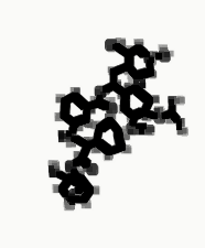 COc1cc(C(Cc2c(Cl)c[n+]([O-])cc2Cl)OC(=O)c2cccc(NC(C(=O)O[C@H]3CN4CCC3CC4)c3ccccc3)c2)ccc1OC(F)F